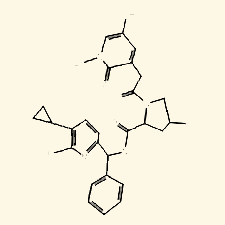 CCn1cc(C)cc(CC(=O)N2CC(F)CC2C(=O)NC(c2ccccc2)c2ccc(C3CC3)c(F)n2)c1=O